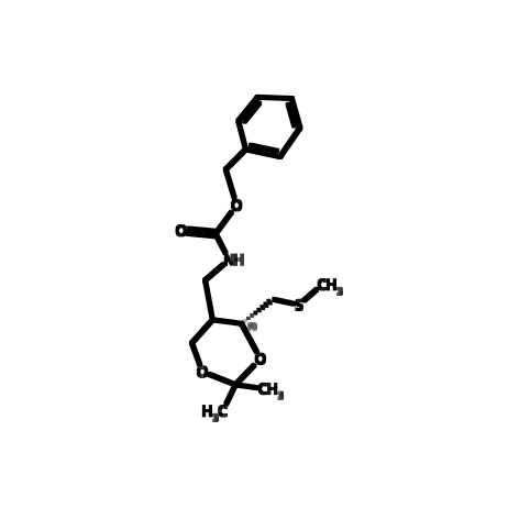 CSC[C@@H]1OC(C)(C)OCC1CNC(=O)OCc1ccccc1